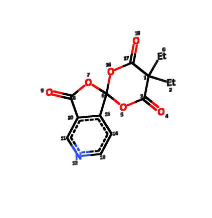 CCC1(CC)C(=O)OC2(OC(=O)c3cnccc32)OC1=O